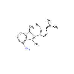 CC1=C(C2=[C]([Zr])C(=[Si](C)C)C=C2)C(C)c2cccc(N)c21